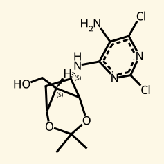 CC1(C)OC2C[C@H](Nc3nc(Cl)nc(Cl)c3N)C(O1)[C@H]2CO